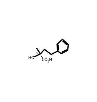 C[C@](O)(CCc1ccccc1)C(=O)O